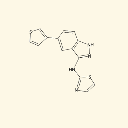 c1csc(Nc2n[nH]c3ccc(-c4ccsc4)cc23)n1